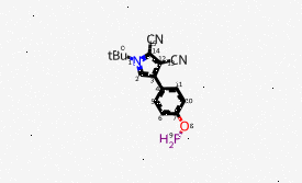 CC(C)(C)n1cc(-c2ccc(OP)cc2)c(C#N)c1C#N